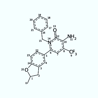 CC1Cc2cc(-c3cc(C(F)(F)F)c(N)c(=O)n3Cc3ccccc3)ccc2O1